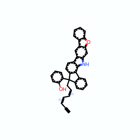 C#C/C=C\C=C/CC1(c2ccccc2O)c2ccccc2-c2c1ccc1c2[nH]c2cc3oc4ccccc4c3cc21